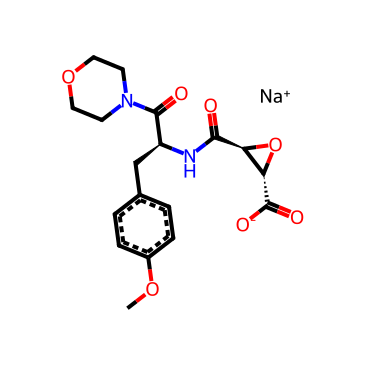 COc1ccc(C[C@H](NC(=O)[C@H]2O[C@@H]2C(=O)[O-])C(=O)N2CCOCC2)cc1.[Na+]